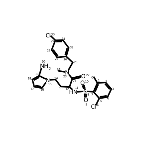 Cc1cccc(Cl)c1S(=O)(=O)NC(CCn1cccc1N)C(=O)N(C)Cc1ccc(Cl)cc1